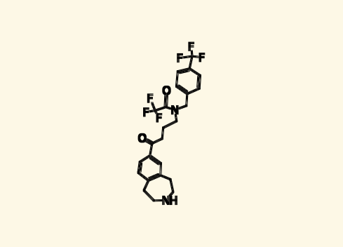 O=C(CCCN(Cc1ccc(C(F)(F)F)cc1)C(=O)C(F)(F)F)c1ccc2c(c1)CCNCC2